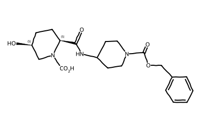 O=C(NC1CCN(C(=O)OCc2ccccc2)CC1)[C@@H]1CC[C@H](O)CN1C(=O)O